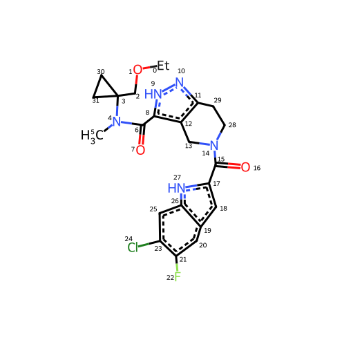 CCOCC1(N(C)C(=O)c2[nH]nc3c2CN(C(=O)c2cc4cc(F)c(Cl)cc4[nH]2)CC3)CC1